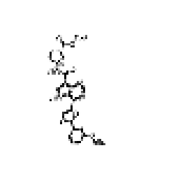 CCCCOc1cccc(C2OC=C(c3ncnc4c(C(=O)N[C@@H]5CCN(C(=O)OC(C)(C)C)C5)c[nH]c34)O2)c1